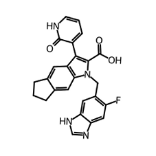 O=C(O)c1c(-c2ccc[nH]c2=O)c2cc3c(cc2n1Cc1cc2[nH]cnc2cc1F)CCC3